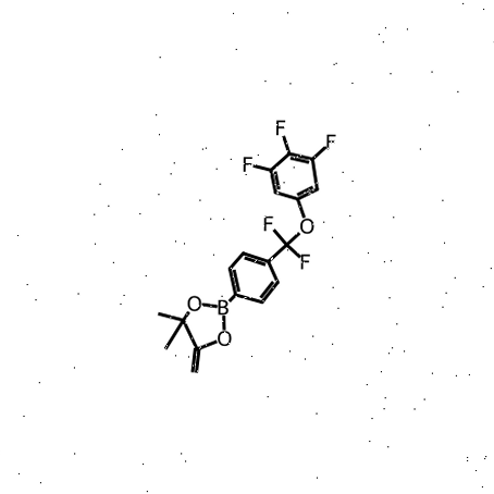 C=C1OB(c2ccc(C(F)(F)Oc3cc(F)c(F)c(F)c3)cc2)OC1(C)C